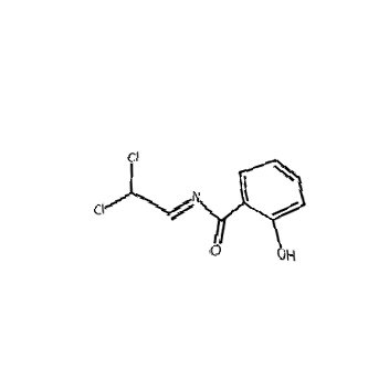 O=C(N=CC(Cl)Cl)c1ccccc1O